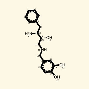 N[C@@H](Cc1ccccc1)[C@H](O)CNCc1ccc(O)c(O)c1